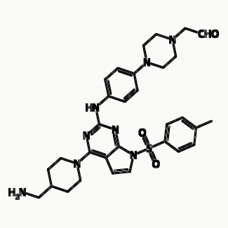 Cc1ccc(S(=O)(=O)n2ccc3c(N4CCC(CN)CC4)nc(Nc4ccc(N5CCN(CC=O)CC5)cc4)nc32)cc1